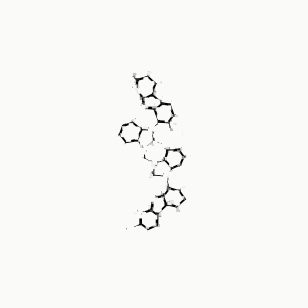 Cc1ccc2c(n1)oc1c(N3c4ccccc4N(CN4c5ccccc5N(c5c(C)ccc6c5oc5nc(C)ccc56)[C@H]4C)[C@H]3C)cccc12